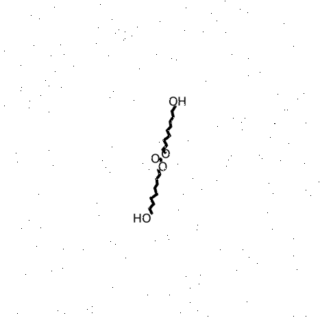 O=C(OCCCCCCCCCCO)OCCCCCCCCCCO